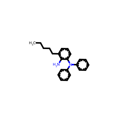 CCCCCc1cccc(N(c2ccccc2)c2ccccc2)c1N